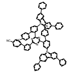 N#Cc1ccc(-c2cccc(-c3nc(-c4cc(-n5c6ccc(-c7ccccc7)cc6c6cc(-c7ccccc7)ccc65)ccc4-c4ccc(C#N)cc4)nc(-c4cc(-n5c6ccc(-c7ccccc7)cc6c6cc(-c7ccccc7)ccc65)ccc4-c4ccc(C#N)cc4)n3)c2)cc1